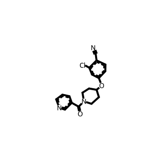 N#Cc1ccc(OC2CCN(C(=O)c3cccnc3)CC2)cc1Cl